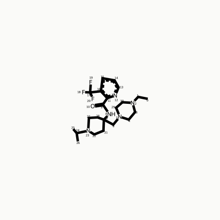 CCN1CCN(CC2(NC(=O)c3ncccc3C(F)(F)F)CCN(C(C)C)CC2)CC1